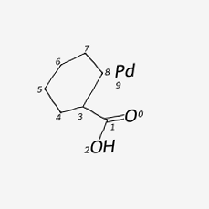 O=C(O)C1CCCCC1.[Pd]